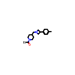 CCC(=O)N1CCC(CN2CC(C3=CC=C(C)CC3)C2)CC1